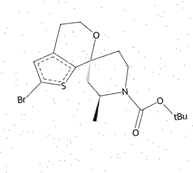 C[C@H]1C[C@@]2(CCN1C(=O)OC(C)(C)C)OCCc1cc(Br)sc12